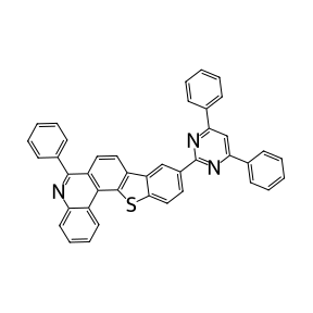 c1ccc(-c2cc(-c3ccccc3)nc(-c3ccc4sc5c(ccc6c(-c7ccccc7)nc7ccccc7c65)c4c3)n2)cc1